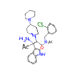 CC(=O)N(Cc1ccccc1Cl)C(=O)C(N1CCC(N2CCCCC2)CC1)C(N)(C(C)=O)c1c[nH]c2ccccc12